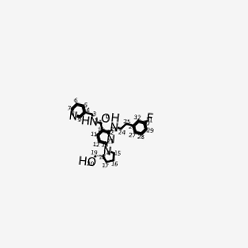 O=C(NCc1cccnc1)c1ccc(N2CCC[C@@H]2CO)nc1NCCc1cccc(F)c1